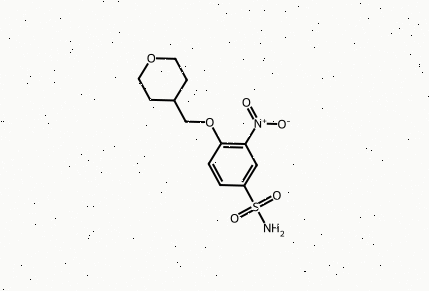 NS(=O)(=O)c1ccc(OCC2CCOCC2)c([N+](=O)[O-])c1